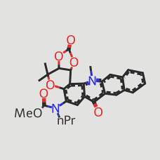 CCCN(C(=O)OC)c1cc2c(=O)c3cc4ccccc4cc3n(C)c2c2c1OC(C)(C)C1OC(=O)OC21